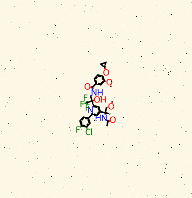 COCC(C)(NC(C)=O)c1cc(-c2ccc(F)c(Cl)c2)nc(C(O)(CNC(=O)c2ccc(OC3CC3)c(OC)c2)C(F)(F)F)c1